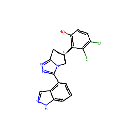 Oc1ccc(Cl)c(Cl)c1[C@@H]1Cc2nnc(-c3cccc4[nH]ncc34)n2C1